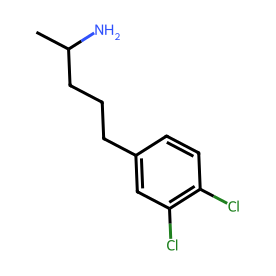 CC(N)CCCc1ccc(Cl)c(Cl)c1